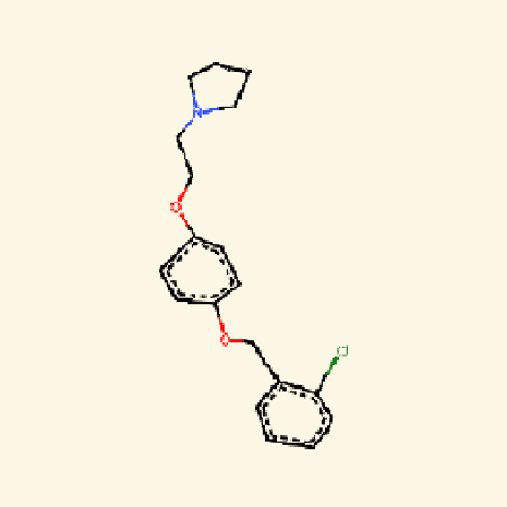 Clc1ccccc1COc1ccc(OCCN2CCCC2)cc1